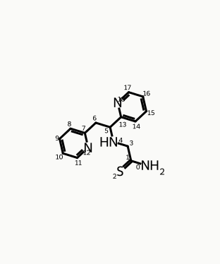 NC(=S)CNC(Cc1ccccn1)c1ccccn1